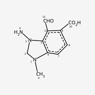 CN1CN(N)c2c1ccc(C(=O)O)c2C=O